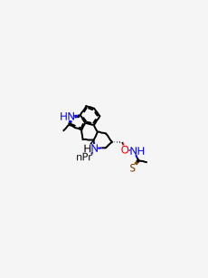 CCCN1C[C@@H](CONC(C)=S)CC2c3cccc4[nH]c(C)c(c34)C[C@H]21